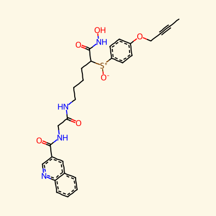 CC#CCOc1ccc([S+]([O-])C(CCCCNC(=O)CNC(=O)c2cnc3ccccc3c2)C(=O)NO)cc1